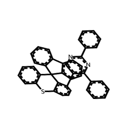 c1ccc(-c2ncc(-c3cccc4c3C3(c5ccccc5S4)c4ccccc4-c4ccccc43)c(-c3ccccc3)n2)cc1